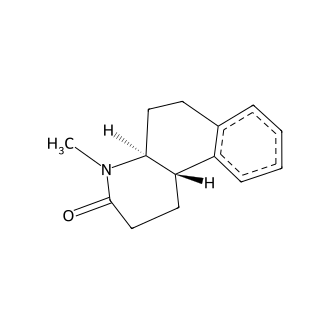 CN1C(=O)CC[C@H]2c3ccccc3CC[C@@H]21